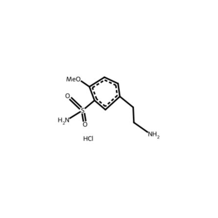 COc1ccc(CCN)cc1S(N)(=O)=O.Cl